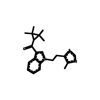 Cc1ncsc1CCn1cc(C(=O)C2C(C)(C)C2(C)C)c2ccccc21